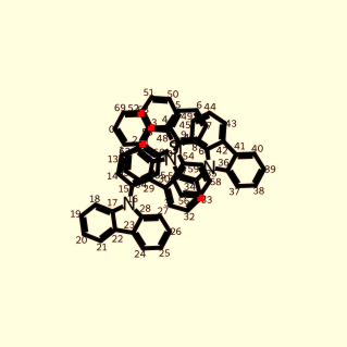 c1ccc(-c2ccccc2-n2c3cccc(-n4c5ccccc5c5ccccc54)c3c3cccc(-n4c5ccccc5c5cccc([Si](c6ccccc6)(c6ccccc6)c6ccccc6)c54)c32)cc1